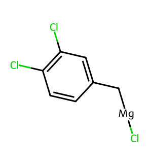 [Cl][Mg][CH2]c1ccc(Cl)c(Cl)c1